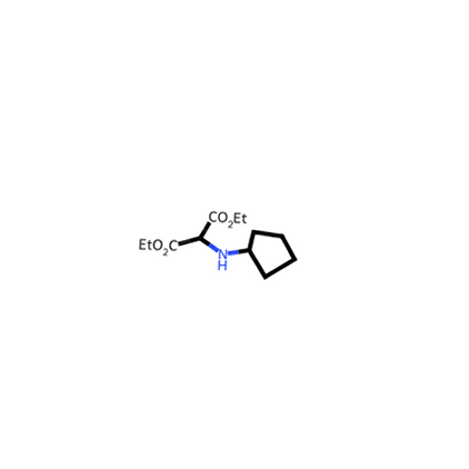 CCOC(=O)C(NC1CCCC1)C(=O)OCC